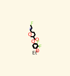 CCOc1ccc(OC(=O)C2CCC(/C=C/CF)OC2)c(F)c1F